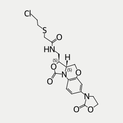 O=C(CSCCCl)NC[C@@H]1OC(=O)N2c3ccc(N4CCOC4=O)cc3OC[C@@H]12